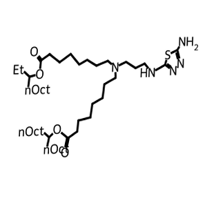 CCCCCCCCC(CC)OC(=O)CCCCCCCN(CCCCCCCC(=O)OC(CCCCCCCC)CCCCCCCC)CCCNc1nnc(N)s1